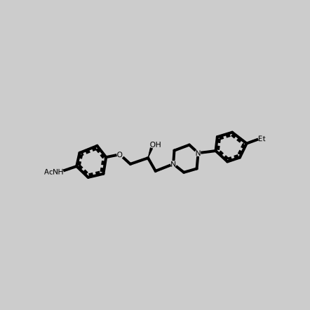 CCc1ccc(N2CCN(C[C@H](O)COc3ccc(NC(C)=O)cc3)CC2)cc1